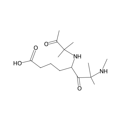 CNC(C)(C)C(=O)C(CCCC(=O)O)NC(C)(C)C(C)=O